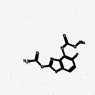 CC(C)(C)OC(=O)Oc1c(F)ccc2sc(OC(N)=O)nc12